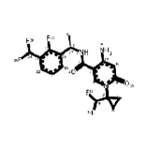 C[C@@H](NC(=O)c1cn(C2(C(F)F)CC2)c(=O)cc1N)c1cccc(C(F)F)c1F